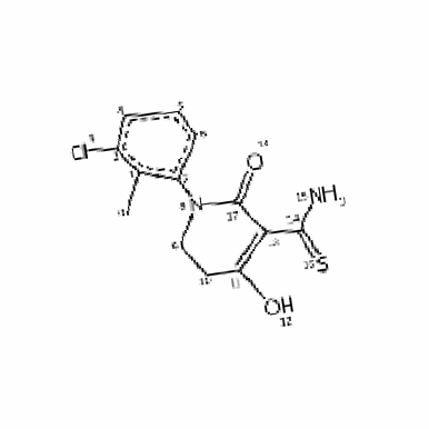 Cc1c(Cl)cccc1N1CCC(O)=C(C(N)=S)C1=O